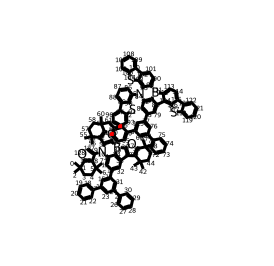 CC1(C)CCC(C)(C)c2c(N3c4cc(-c5cc(-c6ccccc6)cc(-c6ccccc6)c5)cc5c4B(c4oc6c(c4-5)C(C)(C)CCC6(C)C)c4oc5c(c43)C(C)(C)CCC5(C)Cc3cccc(-c4cc(-c5ccccc5)cc(-c5cc6c7c(c5)N(c5cccc8c5sc5ccccc58)c5c(ccc8c5sc5ccccc58)B7c5ccc7c(sc8ccccc87)c5-6)c4)c3)coc21